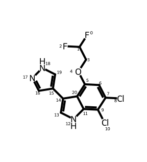 FC(F)COc1cc(Cl)c(Cl)c2[nH]cc(-c3cn[nH]c3)c12